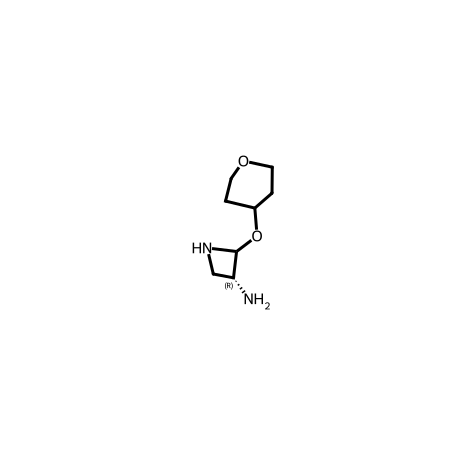 N[C@@H]1CNC1OC1CCOCC1